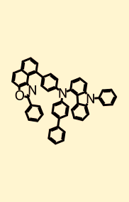 c1ccc(-c2ccc(N(c3ccc(-c4cccc5ccc6oc(-c7ccccc7)nc6c45)cc3)c3cccc4c3c3ccccc3n4-c3ccccc3)cc2)cc1